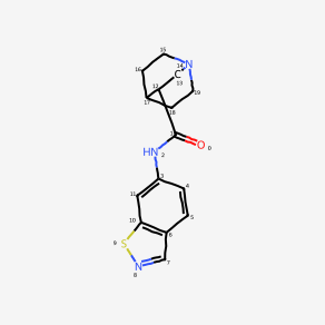 O=C(Nc1ccc2cnsc2c1)C1CN2CCC1CC2